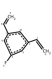 C=[C]c1cc(F)cc(C=C)c1